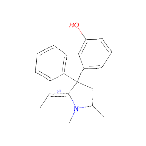 C/C=C1\N(C)C(C)CC1(c1ccccc1)c1cccc(O)c1